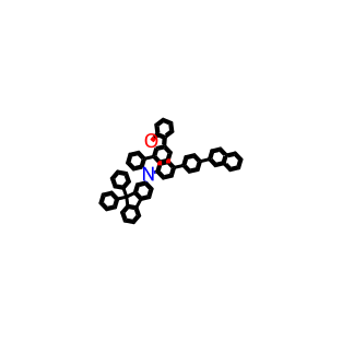 c1ccc(C2(c3ccccc3)c3ccccc3-c3ccc(N(c4ccc(-c5ccc(-c6ccc7ccccc7c6)cc5)cc4)c4ccccc4-c4cccc5c4oc4ccccc45)cc32)cc1